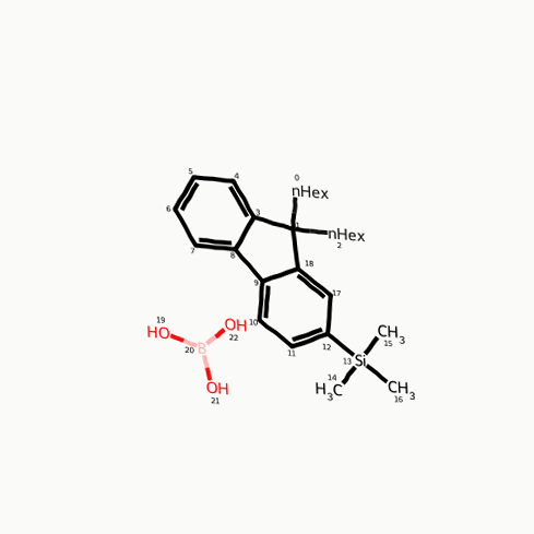 CCCCCCC1(CCCCCC)c2ccccc2-c2ccc([Si](C)(C)C)cc21.OB(O)O